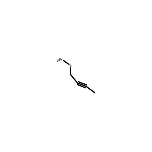 [CH2]CCSCC#CC